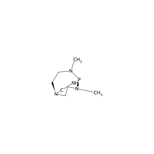 CN1CC[N@]2CCN(C)[P@@]1NC2